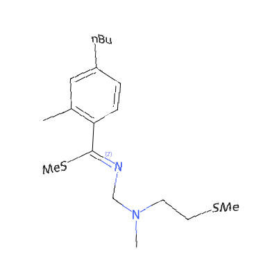 CCCCc1ccc(/C(=N/CN(C)CCSC)SC)c(C)c1